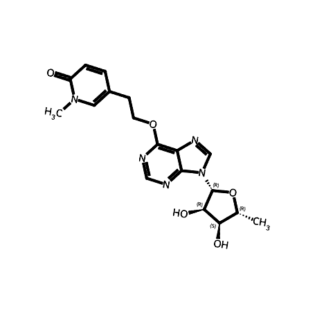 C[C@H]1O[C@@H](n2cnc3c(OCCc4ccc(=O)n(C)c4)ncnc32)[C@H](O)[C@@H]1O